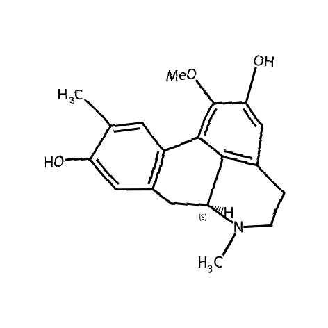 COc1c(O)cc2c3c1-c1cc(C)c(O)cc1C[C@@H]3N(C)CC2